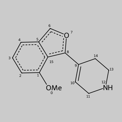 COc1cccc2coc(C3=CCNCC3)c12